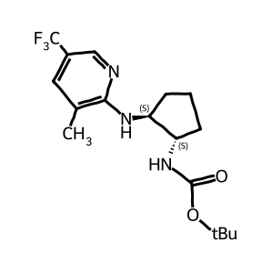 Cc1cc(C(F)(F)F)cnc1N[C@H]1CCC[C@@H]1NC(=O)OC(C)(C)C